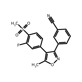 Cc1onc(-c2cccc(C#N)c2)c1-c1ccc(S(C)(=O)=O)c(F)c1